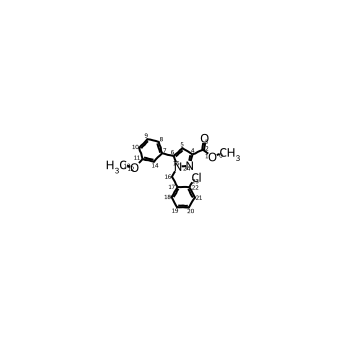 COC(=O)c1cc(-c2cccc(OC)c2)n(Cc2ccccc2Cl)n1